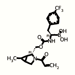 C=CC(=O)N1CC2C(C)C2[C@@H]1COC(=O)N[C@@H](Cc1ccc(C(F)(F)F)cc1)B(O)O